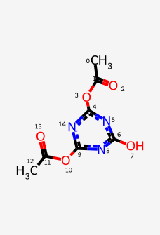 CC(=O)Oc1nc(O)nc(OC(C)=O)n1